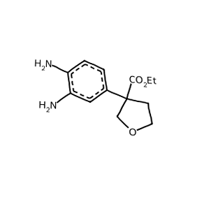 CCOC(=O)C1(c2ccc(N)c(N)c2)CCOC1